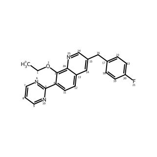 CCOc1c(-c2ncccn2)ccc2cc(Cc3ccc(F)cc3)cnc12